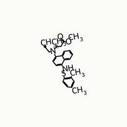 C#CCN(c1ccc(NSc2ccc(C)cc2C)c2ccccc12)[C@@H](C)CC(=O)OC